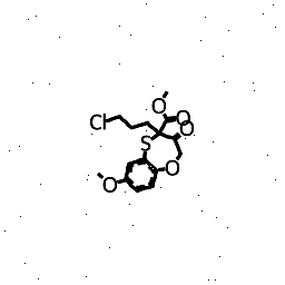 COC(=O)C1(CCCCl)Sc2cc(OC)ccc2OCC1=O